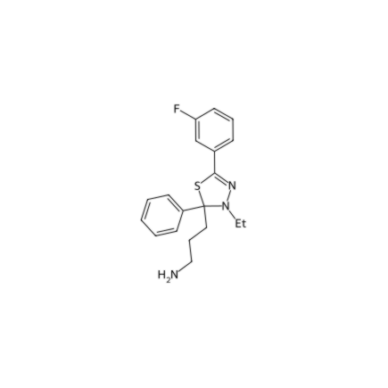 [CH2]CN1N=C(c2cccc(F)c2)SC1(CCCN)c1ccccc1